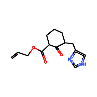 C=CCOC(=O)C1CCCC(Cc2c[nH]cn2)C1=O